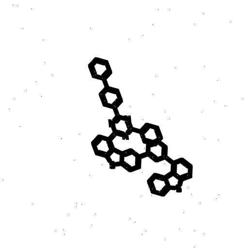 c1ccc(-c2ccc(-c3nc(-c4ccccc4)nc(-c4cccc5sc6ccc(-c7cccc(-c8cccc9sc%10ccccc%10c89)c7)cc6c45)n3)cc2)cc1